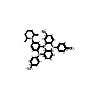 CC1CCCC(C)N1c1ccc2c(c1)B1c3cc(C(C)(C)C)ccc3N(c3ccc(C(C)(C)C)cc3)c3cccc(c31)N2c1ccc(C(C)(C)C)cc1